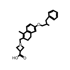 CC1=C(CN2CC(C(=O)O)C2)CCc2cc(OCC(C)Cc3ccccc3)ccc21